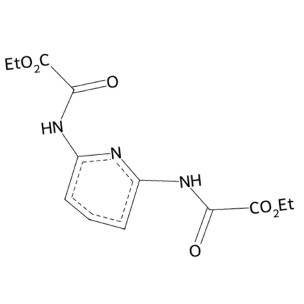 CCOC(=O)C(=O)Nc1cccc(NC(=O)C(=O)OCC)n1